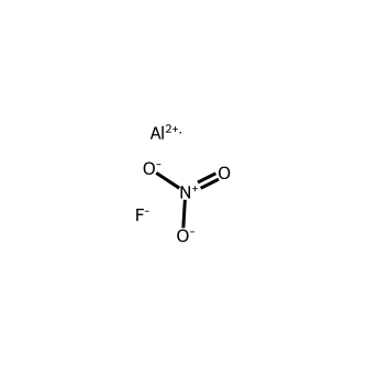 O=[N+]([O-])[O-].[Al+2].[F-]